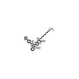 CCCCCCCCCCCC(Nc1cccc(C(NCc2ccc(-c3nccs3)cc2)S(=O)(=O)c2ccccn2)n1)C(=O)O.Cl